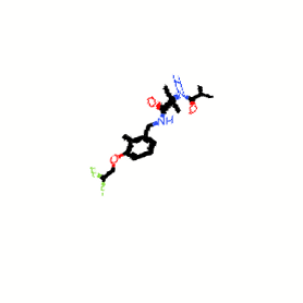 Cc1c(CNC(=O)C(C)(C)NC(=O)C(C)C)cccc1OCC(F)F